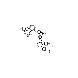 Cc1cccc(CO[PH](=O)OCc2cccc(C)c2C)c1C